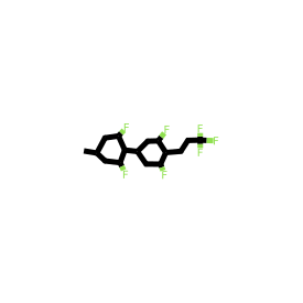 CC1CC(F)C(C2CC(F)C(CCC(F)(F)F)C(F)C2)C(F)C1